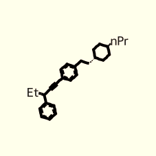 CCC[C@H]1CC[C@H](CCc2ccc(C#CC(CC)c3ccccc3)cc2)CC1